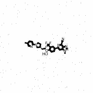 Cc1ccc(N2CC[C@@H](CCOc3ccc(-c4cc5c(nnn5C)c(C#N)n4)cc3C(F)(F)F)C2)nc1.Cl